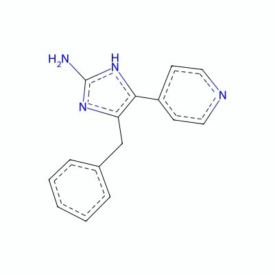 Nc1nc(Cc2ccccc2)c(-c2ccncc2)[nH]1